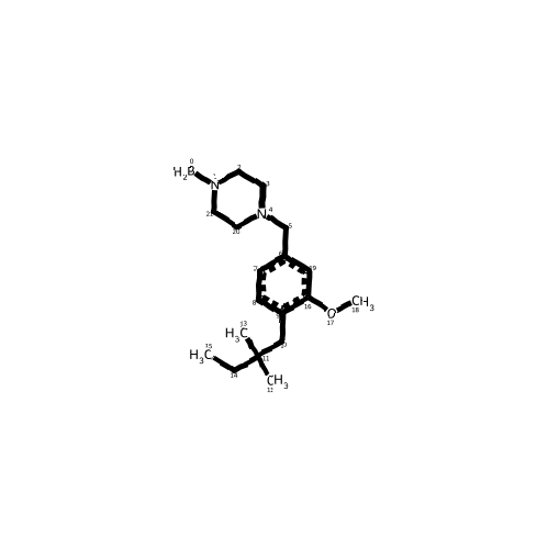 BN1CCN(Cc2ccc(CC(C)(C)CC)c(OC)c2)CC1